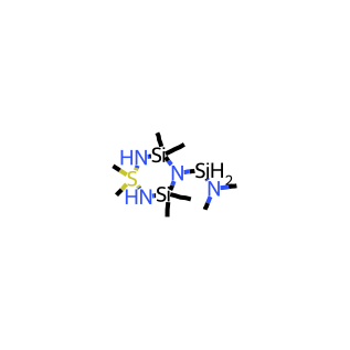 CN(C)[SiH2]N1[Si](C)(C)NS(C)(C)N[Si]1(C)C